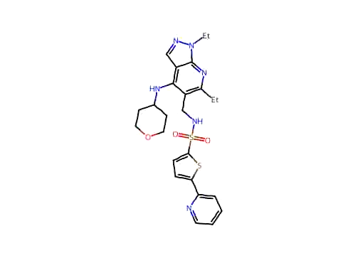 CCc1nc2c(cnn2CC)c(NC2CCOCC2)c1CNS(=O)(=O)c1ccc(-c2ccccn2)s1